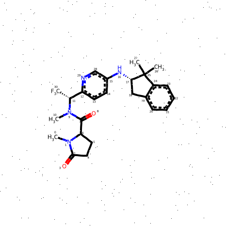 CN1C(=O)CCC1C(=O)N(C)[C@@H](c1ccc(N[C@H]2Cc3ccccc3C2(C)C)cn1)C(F)(F)F